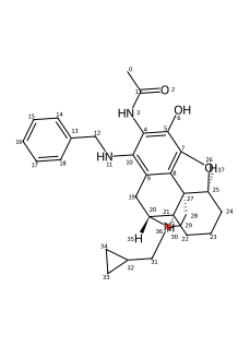 CC(=O)Nc1c(O)c2c3c(c1NCc1ccccc1)C[C@@H]1[C@@H]4CCC[C@H](O2)[C@]34CCN1CC1CC1